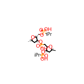 CC(C)P(=O)(O)OC[C@H]1O[C@@H](C)C[C@@H]1OP(=O)(O)CC1O[C@@H](C)C[C@@H]1OP(=O)(O)C(C)C